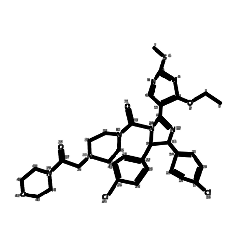 CCOc1nc(SC)ncc1C1=NC(c2ccc(Cl)cc2)C(c2ccc(Cl)cc2)N1C(=O)N1CCN(CC(=O)N2CCOCC2)CC1